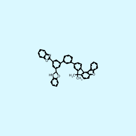 CC1(C)c2cc(-c3cccc(-c4cc(-c5nc6ccccc6o5)cc(C5Nc6ccccc6O5)c4)c3)ccc2-c2c1ccc1oc3ccccc3c21